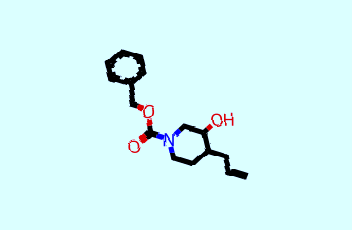 C=CCC1CCN(C(=O)OCc2ccccc2)CC1O